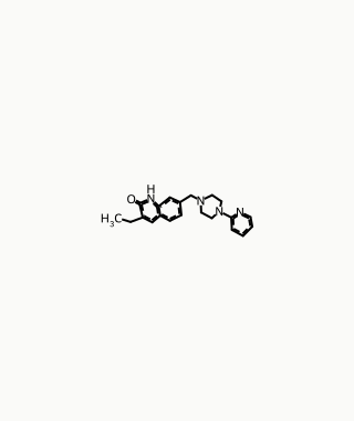 CCc1cc2ccc(CN3CCN(c4ccccn4)CC3)cc2[nH]c1=O